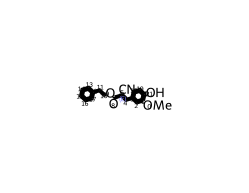 COc1cc(/C=C(\C#N)C(=O)OCCc2ccccc2)ccc1O